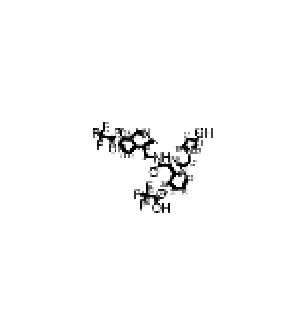 O=C(NCc1cncc2ccccc12)c1nc(CN2CCC(O)C2)n2ccccc12.O=C(O)C(F)(F)F.O=C(O)C(F)(F)F